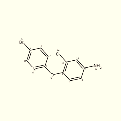 Nc1ccc(Oc2ccc(Br)cn2)c(Cl)c1